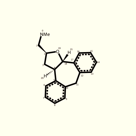 CNC[C@@H]1C[C@@H]2c3ccccc3Cc3ccccc3[C@H]2O1